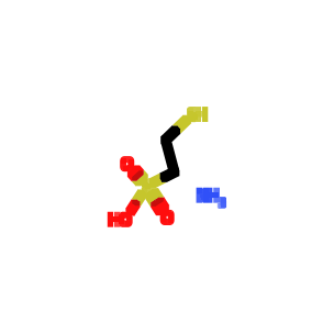 N.O=S(=O)(O)CCS